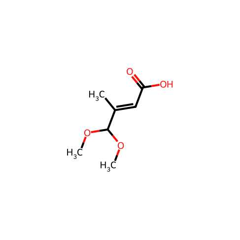 COC(OC)/C(C)=C/C(=O)O